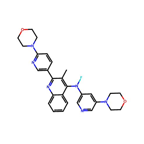 Cc1c(-c2ccc(N3CCOCC3)nc2)nc2ccccc2c1N(F)c1cncc(N2CCOCC2)c1